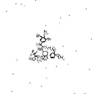 COc1ccc([C@@]23CC[C@@H](NC(=O)Nc4cc(Br)c(C)c(Br)c4)C[C@@H]2N(C)CC3)cc1OC.O=C(O)C(F)(F)F